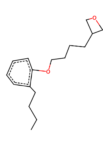 CCCCc1ccccc1OCCCCC1COC1